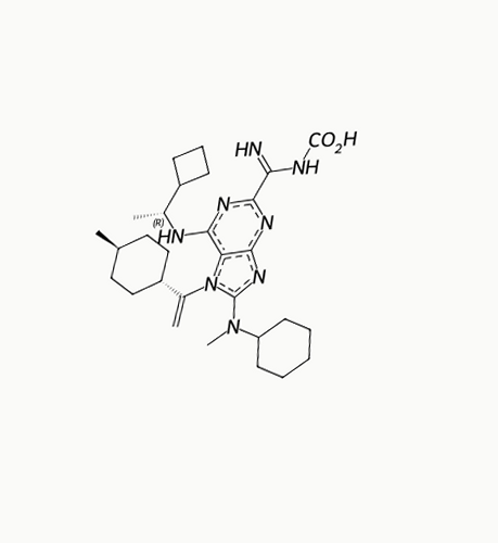 C=C([C@H]1CC[C@H](C)CC1)n1c(N(C)C2CCCCC2)nc2nc(C(=N)NC(=O)O)nc(N[C@H](C)C3CCC3)c21